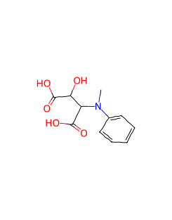 CN(c1ccccc1)C(C(=O)O)C(O)C(=O)O